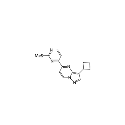 CSc1nccc(-c2ccn3ncc(C4CCC4)c3n2)n1